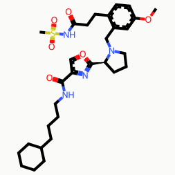 COc1ccc(CCC(=O)NS(C)(=O)=O)c(CN2CCC[C@H]2c2nc(C(=O)NCCCCC3CCCCC3)co2)c1